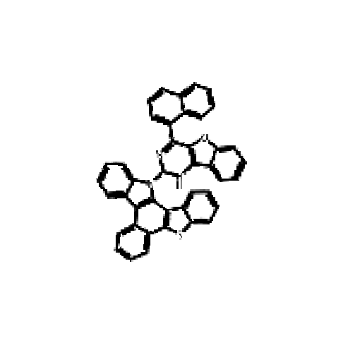 c1ccc2c(C3=NC(n4c5ccccc5c5c6ccccc6c6sc7ccccc7c6c54)Nc4c3oc3ccccc43)cccc2c1